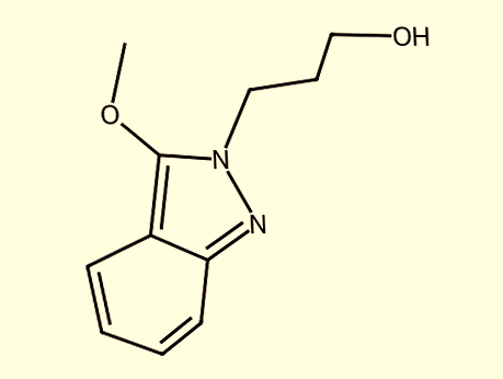 COc1c2ccccc2nn1CCCO